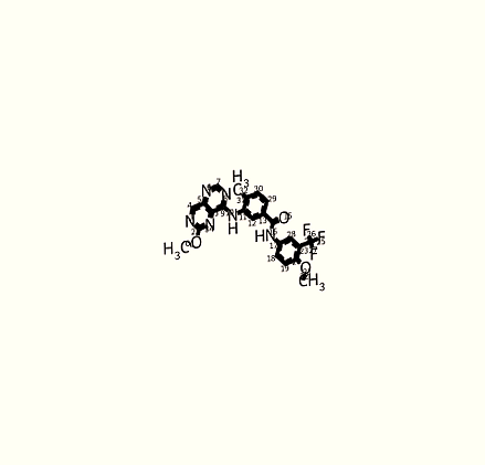 COc1ncc2ncnc(Nc3cc(C(=O)Nc4ccc(OC)c(C(F)(F)F)c4)ccc3C)c2n1